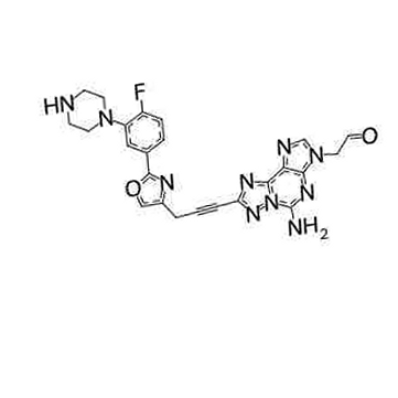 Nc1nc2c(ncn2CC=O)c2nc(C#CCc3coc(-c4ccc(F)c(N5CCNCC5)c4)n3)nn12